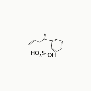 C=CCC(=C)c1ccccc1.O=S(=O)(O)O